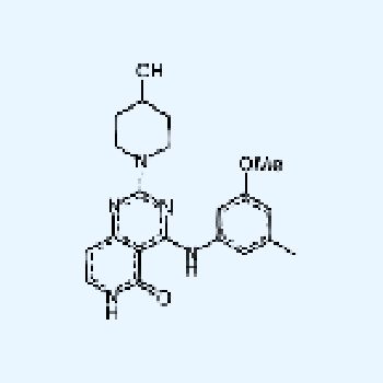 COc1cc(C)cc(Nc2nc(N3CCC(O)CC3)nc3cc[nH]c(=O)c23)c1